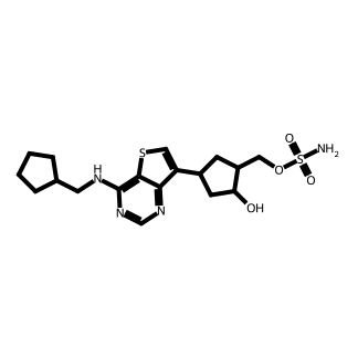 NS(=O)(=O)OCC1CC(c2csc3c(NCC4CCCC4)ncnc23)CC1O